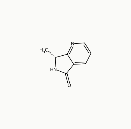 C[C@H]1NC(=O)c2cccnc21